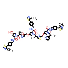 Cc1ncsc1-c1ccc(CNC(=O)[C@@H]2C[C@@H](OCc3nc([C@H](C(=O)N4C[C@H](OCc5cnc([C@H](C(=O)N6C[C@H](O)C[C@H]6C(=O)NCc6ccc(-c7scnc7C)cc6)C(C)C)o5)C[C@H]4C(=O)NCc4ccc(-c5scnc5C)cc4)C(C)C)cs3)CN2C(=O)[C@@H](c2cccnc2)C(C)C)cc1